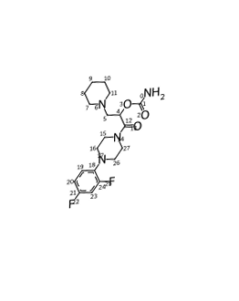 NC(=O)OC(CN1CCCCC1)C(=O)N1CCN(c2ccc(F)cc2F)CC1